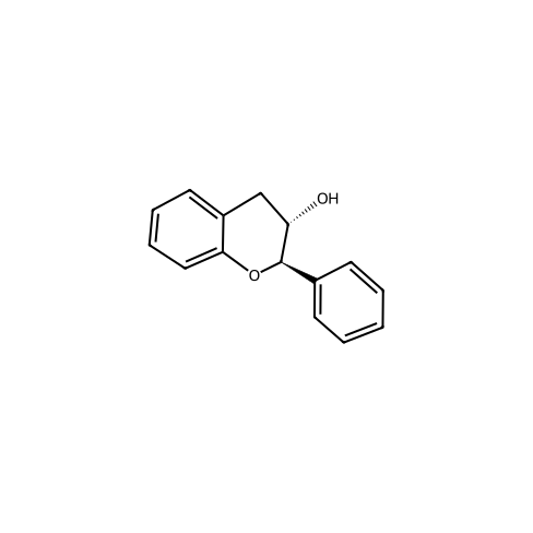 O[C@H]1Cc2ccccc2O[C@@H]1c1ccccc1